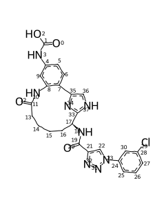 O=C(O)Nc1ccc2c(c1)NC(=O)CCCC[C@H](NC(=O)c1cn(-c3cccc(Cl)c3)nn1)c1nc-2c[nH]1